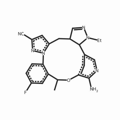 CCN1N=CC2Cc3cc(C#N)nn3-c3ccc(F)cc3C(C)Oc3cc(cnc3N)C21